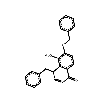 COc1c(OCc2ccccc2)ccc2c1C(Cc1ccccc1)N=NC2=O